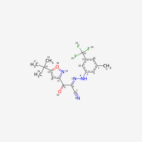 Cc1cc(N/N=C(\C#N)C(=O)c2cc(C(C)(C)C)on2)cc(C(F)(F)F)c1